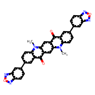 Cn1c2ccc(-c3ccc4nonc4c3)cc2c(=O)c2cc3c(cc21)c(=O)c1cc(-c2ccc4nonc4c2)ccc1n3C